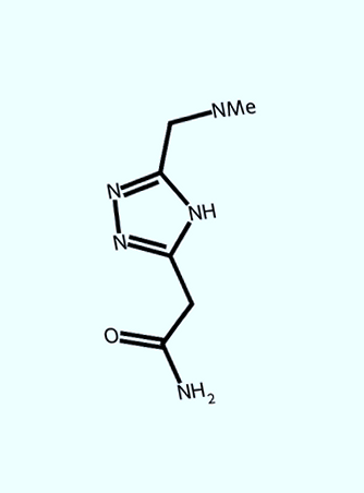 CNCc1nnc(CC(N)=O)[nH]1